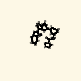 O=C(Nc1cncc(-c2ccc3[nH]nc(-c4cc5cnccc5[nH]4)c3c2)c1)C1CCCC1